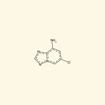 Nc1cc(Cl)cn2ncnc12